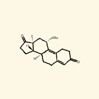 CC(C)(C)[C@H]1C[C@]2(C)C(=O)CC[C@H]2[C@@H]2CCC3=CC(=O)CCC3=C21